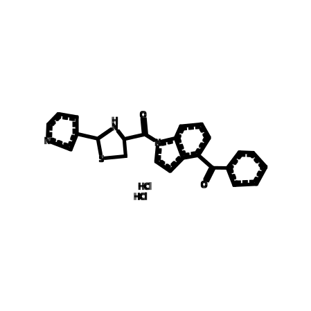 Cl.Cl.O=C(c1ccccc1)c1cccc2c1ccn2C(=O)C1CSC(c2cccnc2)N1